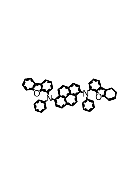 C1=Cc2oc3c(N(c4ccccc4)c4ccc5ccc6c(N(c7ccccc7)c7cccc8c7oc7ccccc78)ccc7ccc4c5c76)cccc3c2CC1